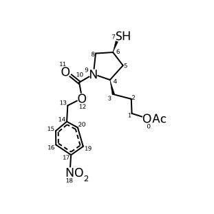 CC(=O)OCCC[C@@H]1C[C@H](S)CN1C(=O)OCc1ccc([N+](=O)[O-])cc1